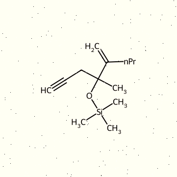 C#CCC(C)(O[Si](C)(C)C)C(=C)CCC